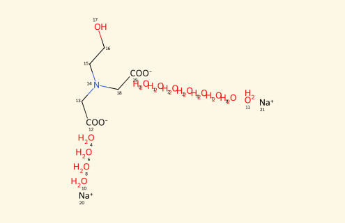 O.O.O.O.O.O.O.O.O.O.O.O.O=C([O-])CN(CCO)CC(=O)[O-].[Na+].[Na+]